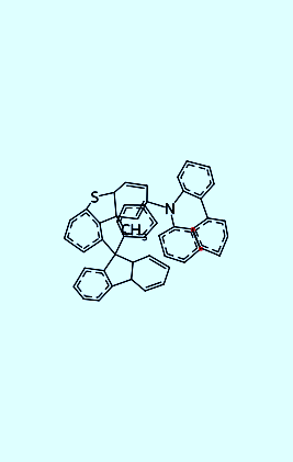 CC12C=C(N(c3ccccc3)c3ccccc3-c3ccccc3)C=CC1Sc1cccc(C3(c4ccccc4)c4ccccc4C4C=CC=CC43)c12